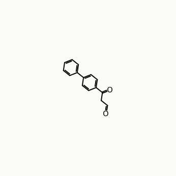 O=CCC(=O)c1ccc(-c2ccccc2)cc1